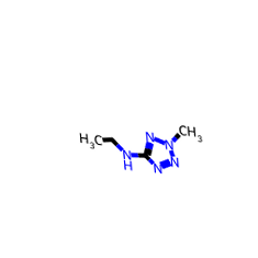 CCNc1nnn(C)n1